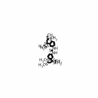 CSC1CC(SC)(SC)c2cc(NC(=S)Nc3ccc4c(c3)C(SC)(SC)CC(SC)[SH]4C)ccc2[SH]1C